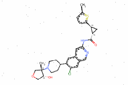 Cc1ccc([C@H]2C[C@@H]2C(=O)Nc2cc3cc(C4CCN([C@@]5(C)COC[C@H]5O)CC4)c(Cl)cc3cn2)s1